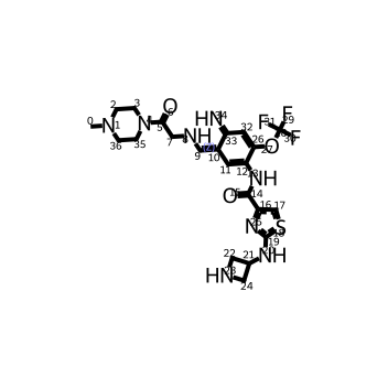 CN1CCN(C(=O)CN/C=C2/C=C(NC(=O)c3csc(NC4CNC4)n3)C(OC(F)(F)F)=CC2=N)CC1